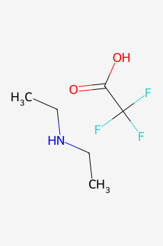 CCNCC.O=C(O)C(F)(F)F